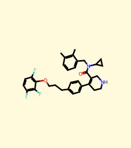 Cc1cccc(CN(C(=O)C2=C(c3ccc(CCCOc4c(F)ccc(F)c4F)cc3)CCNC2)C2CC2)c1C